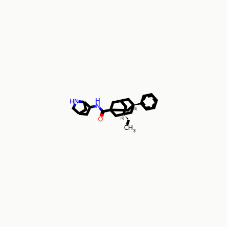 CC[C@@]12CC3CC(C(=O)NC4CC5CNC4C5)(C1)C[C@](c1ccccc1)(C3)C2